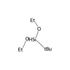 CCO[SiH](OCC)C(C)(C)C